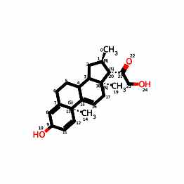 C[C@@H]1CC2C3CCC4=CC(O)C=C[C@]4(C)C3=CC[C@]2(C)[C@H]1C(=O)CO